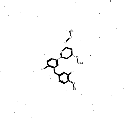 CCCCOC[C@@H]1C[C@H](OCCCC)C[C@H](c2ccc(Cl)c(Cc3ccc(OCC)c(Cl)c3)c2)S1